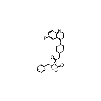 O=C(CC1CCC(c2ccnc3ccc(F)cc23)CC1)N1C(=O)OC[C@H]1Cc1ccccc1